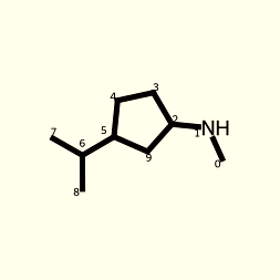 CNC1CCC(C(C)C)C1